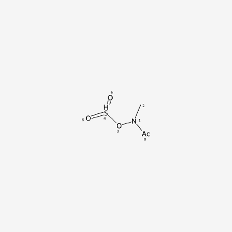 CC(=O)N(C)O[SH](=O)=O